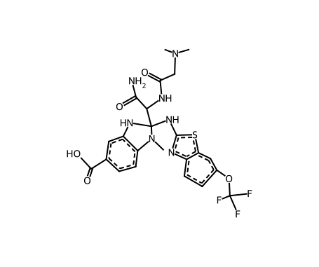 CN(C)CC(=O)NC(C(N)=O)C1(Nc2nc3ccc(OC(F)(F)F)cc3s2)Nc2cc(C(=O)O)ccc2N1C